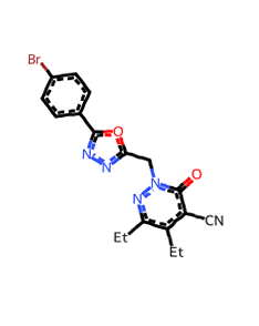 CCc1nn(Cc2nnc(-c3ccc(Br)cc3)o2)c(=O)c(C#N)c1CC